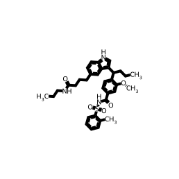 CCCNC(=O)CCCc1ccc2[nH]cc(C(CCC)c3ccc(C(=O)NS(=O)(=O)c4ccccc4C)cc3OC)c2c1